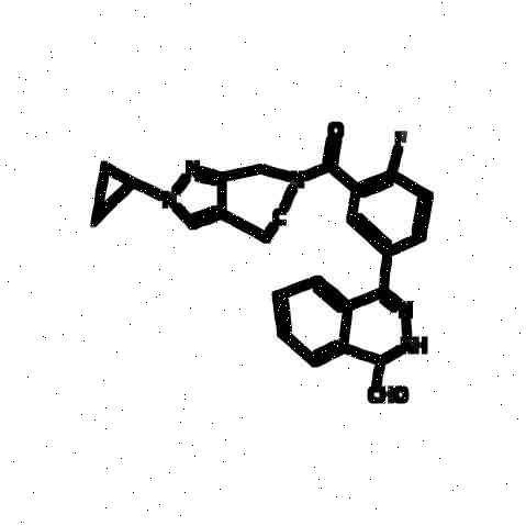 O=CC1NN=C(c2ccc(F)c(C(=O)N3CCc4cn(C5CC5)nc4C3)c2)c2ccccc21